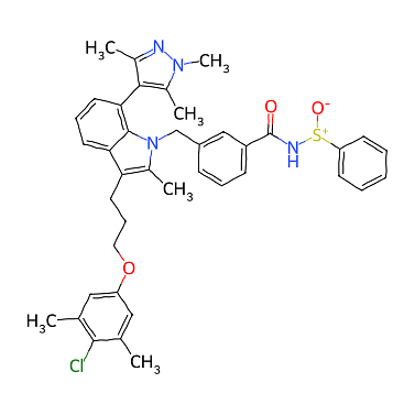 Cc1cc(OCCCc2c(C)n(Cc3cccc(C(=O)N[S+]([O-])c4ccccc4)c3)c3c(-c4c(C)nn(C)c4C)cccc23)cc(C)c1Cl